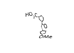 COc1ccc(CC(=O)c2cccc(C(=O)O)c2)cc1